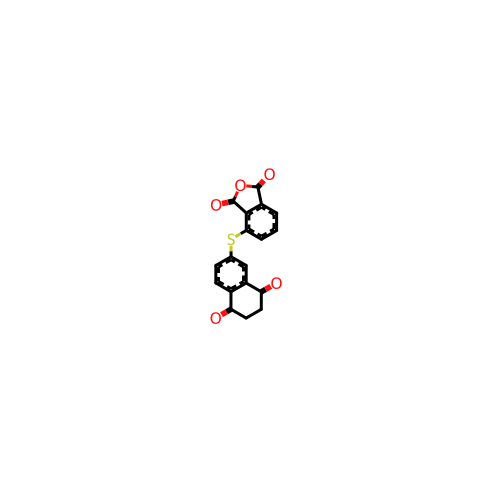 O=C1CCC(=O)c2cc(Sc3cccc4c3C(=O)OC4=O)ccc21